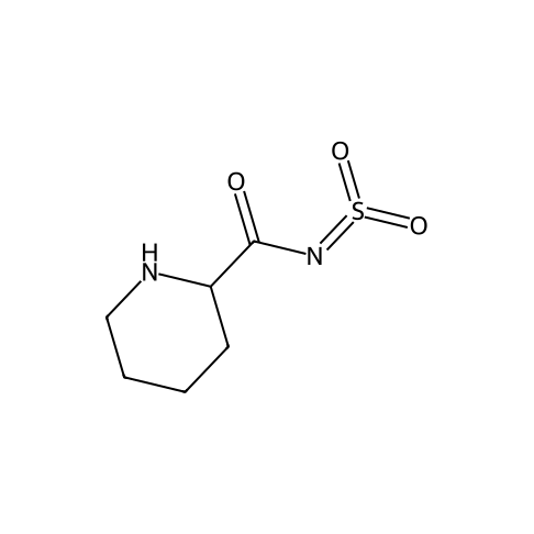 O=C(N=S(=O)=O)C1CCCCN1